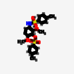 COc1ccc(NS(=O)(=O)c2ccc(C)cc2)c(OC)c1OS(=O)(=O)c1ccc(C)cc1